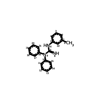 Cc1cccc(NC(=N)N(c2ccccc2)c2ccccc2)c1